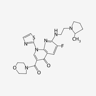 CC1CCCN1CCNc1nc2c(cc1F)c(=O)c(C(=O)N1CCOCC1)cn2-c1nccs1